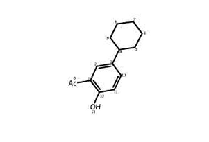 CC(=O)c1cc(C2CCCCC2)ccc1O